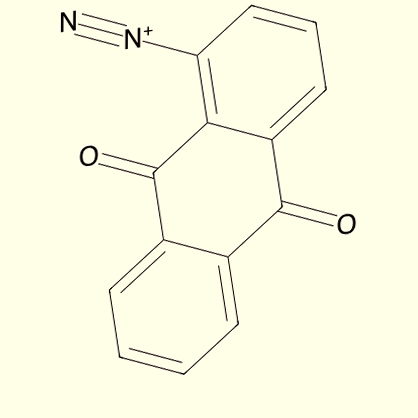 N#[N+]c1cccc2c1C(=O)c1ccccc1C2=O